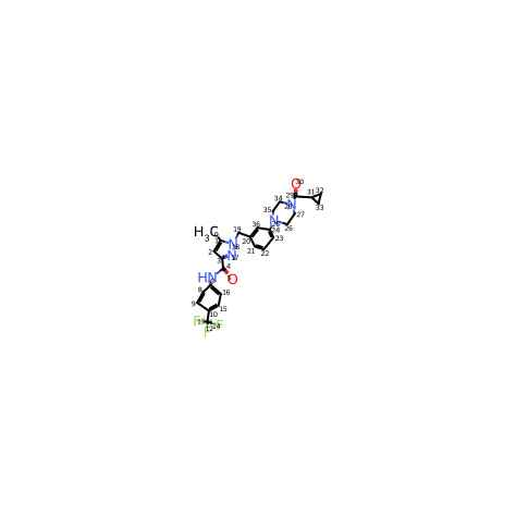 Cc1cc(C(=O)Nc2ccc(C(F)(F)F)cc2)nn1Cc1cccc(N2CCN(C(=O)C3CC3)CC2)c1